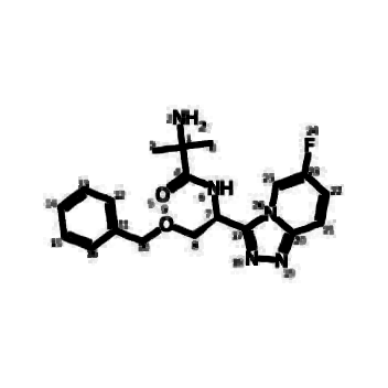 CC(C)(N)C(=O)N[C@H](COCc1ccccc1)c1nnc2ccc(F)cn12